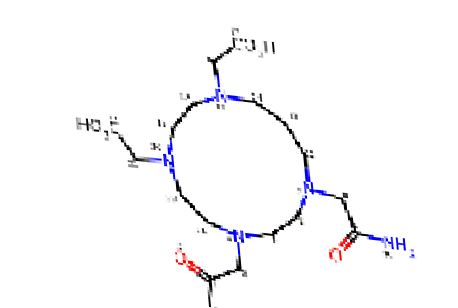 CC(C)(C)C(=O)CN1CCN(CC(N)=O)CCCN(CC(=O)O)CCN(CC(=O)O)CC1